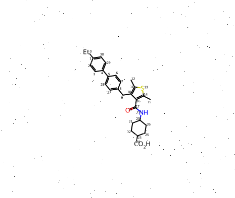 CCc1ccc(-c2ccc(Cc3c(C)sc(C)c3C(=O)NC3CCC(C(=O)O)CC3)cc2)cc1